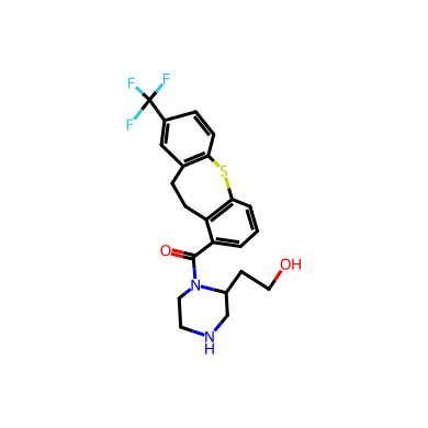 O=C(c1cccc2c1CCc1cc(C(F)(F)F)ccc1S2)N1CCNCC1CCO